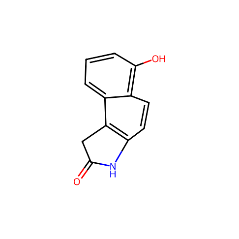 O=C1Cc2c(ccc3c(O)cccc23)N1